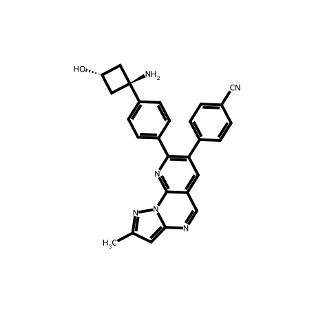 Cc1cc2ncc3cc(-c4ccc(C#N)cc4)c(-c4ccc([C@]5(N)C[C@H](O)C5)cc4)nc3n2n1